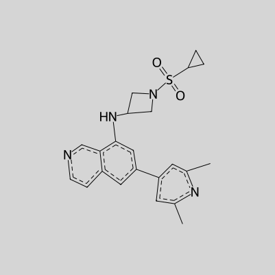 Cc1cc(-c2cc(NC3CN(S(=O)(=O)C4CC4)C3)c3cnccc3c2)cc(C)n1